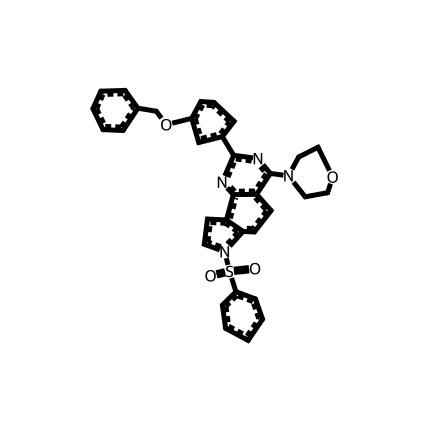 O=S(=O)(c1ccccc1)n1ccc2c3nc(-c4cccc(OCc5ccccc5)c4)nc(N4CCOCC4)c3ccc21